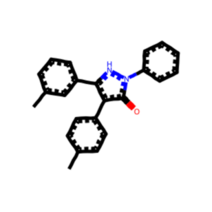 Cc1ccc(-c2c(-c3cccc(C)c3)[nH]n(-c3ccccc3)c2=O)cc1